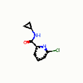 O=C(NC1CC1)c1cc[c]c(Cl)n1